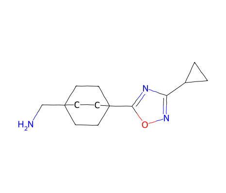 NCC12CCC(c3nc(C4CC4)no3)(CC1)CC2